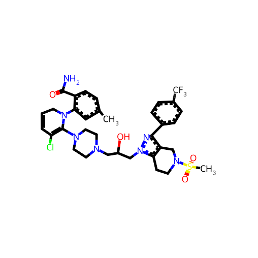 Cc1ccc(C(N)=O)c(N2CC=CC(Cl)=C2N2CCN(CC(O)Cn3nc(-c4ccc(C(F)(F)F)cc4)c4c3CCN(S(C)(=O)=O)C4)CC2)c1